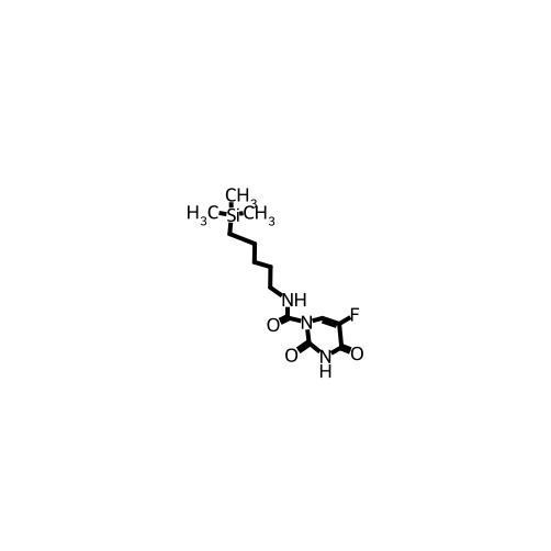 C[Si](C)(C)CCCCCNC(=O)n1cc(F)c(=O)[nH]c1=O